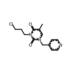 Cc1cn(Cc2ccncc2)c(=O)n(CCCCl)c1=O